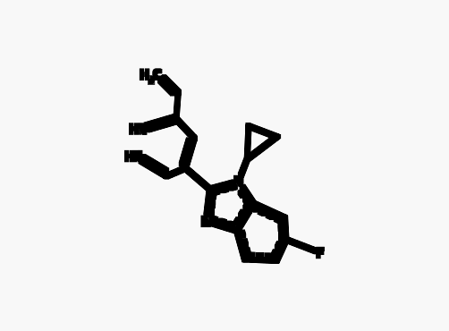 C=CC(=N)/C=C(\C=N)c1nc2ccc(F)cc2n1C1CC1